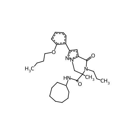 CCCCOc1ccccc1-c1cc2n(n1)CC(C)(C(=O)NC1CCCCCCC1)N(CCC)C2=O